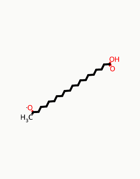 CC([O])CCCCCCCCCCCCCCCCCCC(=O)O